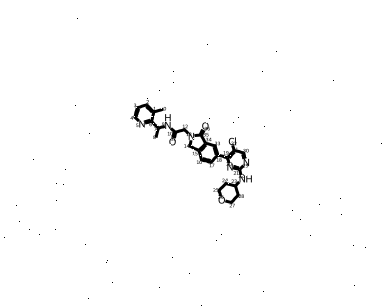 Cc1cccnc1C(C)NC(=O)CN1Cc2ccc(-c3nc(NC4CCOCC4)ncc3Cl)cc2C1=O